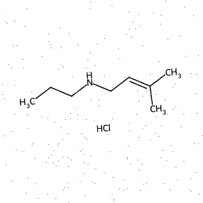 CCCNCC=C(C)C.Cl